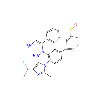 Cc1nc(C(C)F)cn1-c1ccc(-c2cccc([S+]=O)c2)cc1N(N)/C(=C\N)c1ccccc1